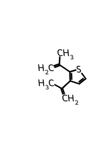 C=C(C)c1ccsc1C(=C)C